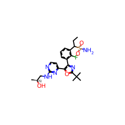 CCC(c1cccc(-c2nc(C(C)(C)C)oc2-c2ccnc(NC[C@H](C)O)n2)c1F)S(N)(=O)=O